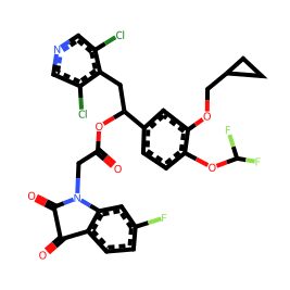 O=C(CN1C(=O)C(=O)c2ccc(F)cc21)OC(Cc1c(Cl)cncc1Cl)c1ccc(OC(F)F)c(OCC2CC2)c1